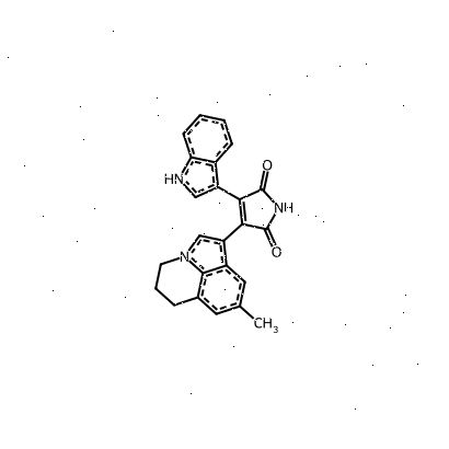 Cc1cc2c3c(c1)c(C1=C(c4c[nH]c5ccccc45)C(=O)NC1=O)cn3CCC2